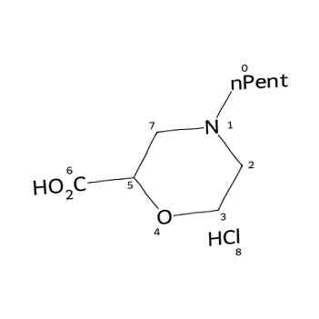 CCCCCN1CCOC(C(=O)O)C1.Cl